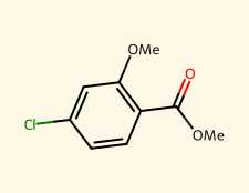 COC(=O)c1ccc(Cl)cc1OC